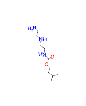 CC(C)CCOC(=O)NCCNCCN